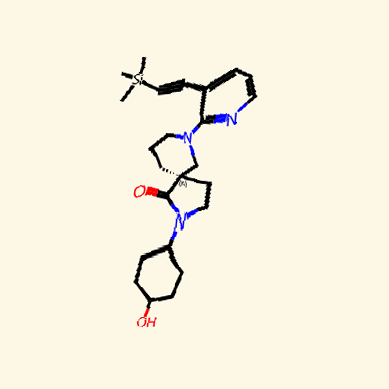 C[Si](C)(C)C#Cc1cccnc1N1CCC[C@@]2(CCN(C3CCC(O)CC3)C2=O)C1